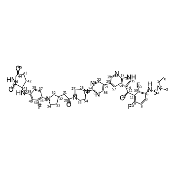 CCN(C)SNc1ccc(F)c(C(=O)c2c[nH]c3ncc(-c4cnc(N5CCN(C(=O)CC6CCN(c7ccc(NC8CCC(=O)NC8=O)cc7F)C6)CC5)nc4)cc23)c1F